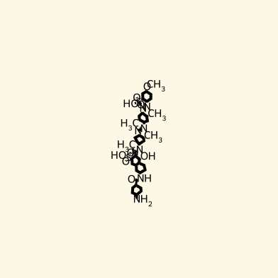 COc1ccc(N=Nc2cc(C)c(N=Nc3cc(C)c(N=Nc4c(S(=O)(=O)O)cc5cc(NC(=O)c6ccc(N)cc6)ccc5c4O)cc3C)cc2C)c(S(=O)(=O)O)c1